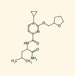 CC(C)CC(NC(=O)c1ccc(C2CC2)c(OCC2CCCO2)n1)C(N)=O